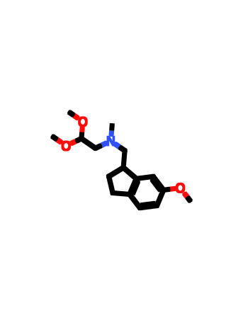 COc1ccc2c(c1)C(CN(C)CC(OC)OC)CC2